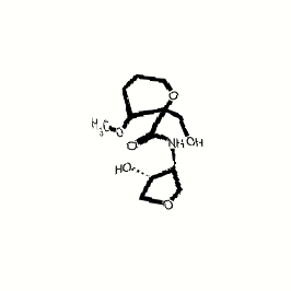 COC1CCCOC1(CO)C(=O)N[C@H]1COC[C@@H]1O